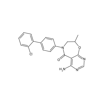 CC1CN(c2ccc(-c3ccccc3Cl)cc2)C(=O)c2c(N)ncnc2O1